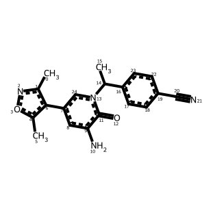 Cc1noc(C)c1-c1cc(N)c(=O)n(C(C)c2ccc(C#N)cc2)c1